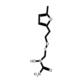 Cc1ccc(CCOCCN(O)C(N)=O)o1